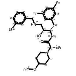 CCCOC1CCN([C@@H](CCC)C(=O)N[C@@H](Cc2cc(F)cc(F)c2)[C@@H](O)CNCc2cccc(CC)c2)CC1